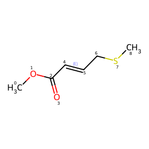 COC(=O)/C=C/CSC